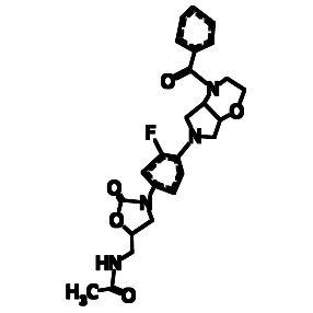 CC(=O)NCC1CN(c2ccc(N3CC4OCCN(C(=O)c5ccccc5)C4C3)c(F)c2)C(=O)O1